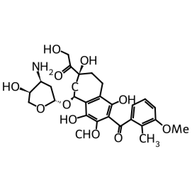 COc1cccc(C(=O)c2c(O)c3c(c(O)c2C=O)[C@@H](O[C@H]2C[C@H](N)[C@H](O)CO2)C[C@](O)(C(=O)CO)CC3)c1C